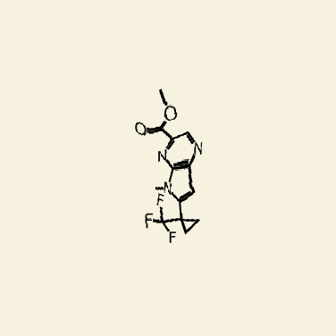 COC(=O)c1cnc2cc(C3(C(F)(F)F)CC3)n(C)c2n1